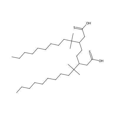 CCCCCCCCCC(C)(C)C(CCC(CC(O)=S)C(C)(C)CCCCCCCCC)CC(O)=S